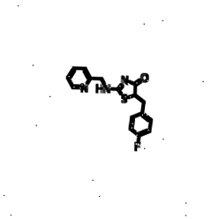 O=C1N=C(NCc2ccccn2)SC1Cc1ccc(F)cc1